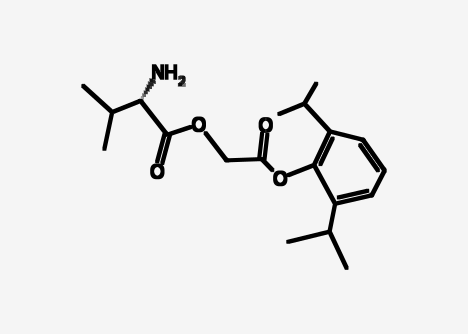 CC(C)c1cccc(C(C)C)c1OC(=O)COC(=O)[C@@H](N)C(C)C